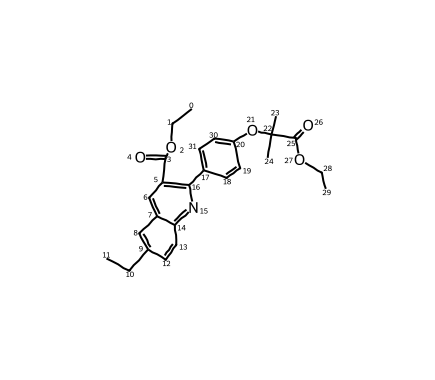 CCOC(=O)c1cc2cc(CC)ccc2nc1-c1ccc(OC(C)(C)C(=O)OCC)cc1